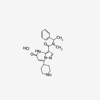 CC(c1ccccc1)N(C)C(=O)c1cnn2c(C3CCNCC3)cc(=O)[nH]c12.Cl